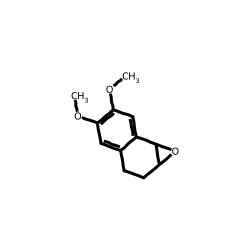 COc1cc2c(cc1OC)C1OC1CC2